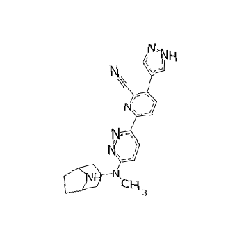 CN(c1ccc(-c2ccc(-c3cn[nH]c3)c(C#N)n2)nn1)C1CC2CCC(C1)N2